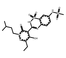 CCc1nn(CCC(C)C)c(=O)c(C2=Nc3ccc(NS(C)(=O)=O)cc3S(=O)(=O)N2)c1O